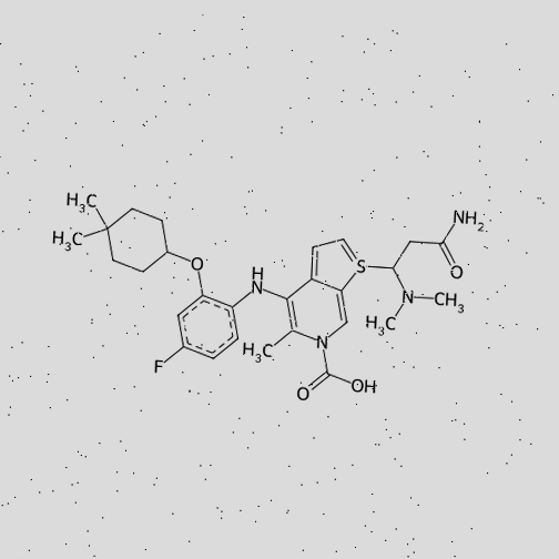 CC1=C(Nc2ccc(F)cc2OC2CCC(C)(C)CC2)C2=CC=S(C(CC(N)=O)N(C)C)C2=CN1C(=O)O